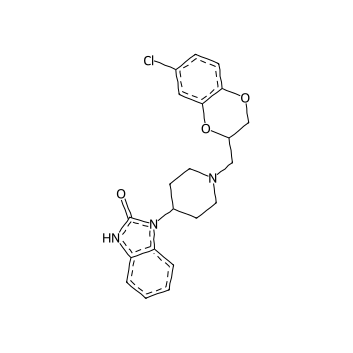 O=c1[nH]c2ccccc2n1C1CCN(CC2COc3ccc(Cl)cc3O2)CC1